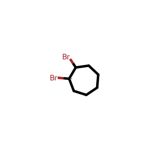 Br[C]1CCCCCC1Br